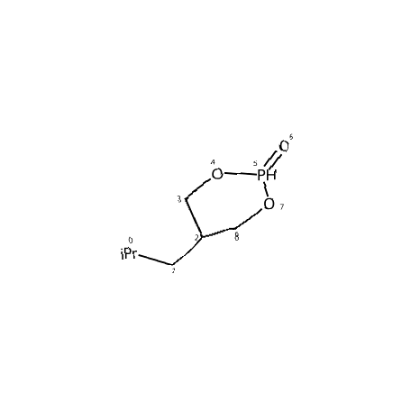 CC(C)CC1CO[PH](=O)OC1